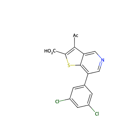 CC(=O)c1c(C(=O)O)sc2c(-c3cc(Cl)cc(Cl)c3)cncc12